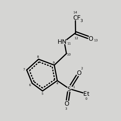 CCS(=O)(=O)c1ccccc1CNC(=O)C(F)(F)F